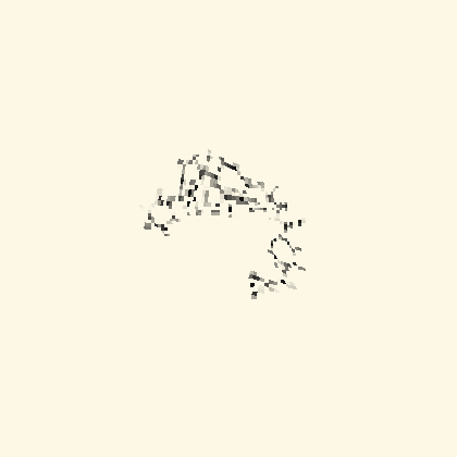 CC1(NOC(=O)C2CCN(CC3CC3)CC2)C=C2CC[C@H]3[C@H](CC[C@]4(C)C(c5cccnc5)=CC[C@@H]34)[C@@]2(C)CC1